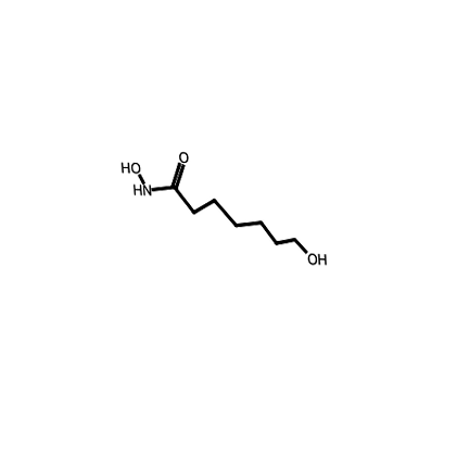 O=C(CCCCCCO)NO